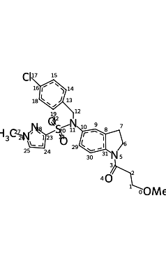 COCCC(=O)N1CCc2cc(N(Cc3ccc(Cl)cc3)S(=O)(=O)c3ccn(C)n3)ccc21